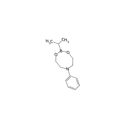 CC(C)B1OCCN(c2ccccc2)CCO1